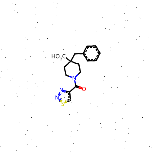 O=C(c1csnn1)N1CCC(Cc2ccccc2)(C(=O)O)CC1